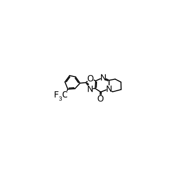 O=c1c2nc(-c3cccc(C(F)(F)F)c3)oc2nc2n1CCCC2